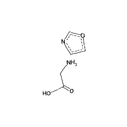 NCC(=O)O.c1cocn1